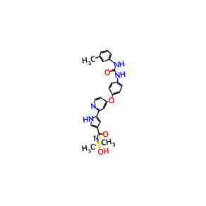 Cc1cccc(NC(=O)Nc2ccc(Oc3ccnc(-c4cc(C(=O)N=[SH](C)(C)O)c[nH]4)c3)cc2)c1